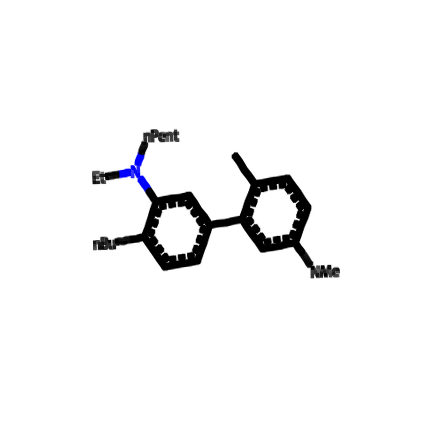 CCCCCN(CC)c1cc(-c2cc(NC)ccc2C)ccc1CCCC